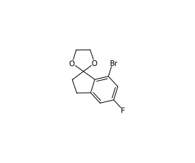 Fc1cc(Br)c2c(c1)CCC21OCCO1